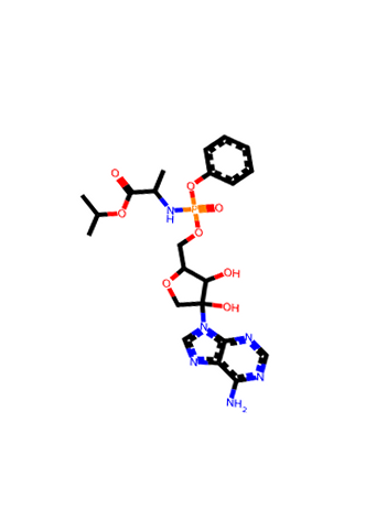 CC(C)OC(=O)C(C)NP(=O)(OCC1OCC(O)(n2cnc3c(N)ncnc32)C1O)Oc1ccccc1